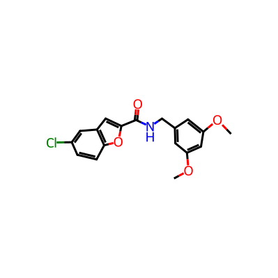 COc1cc(CNC(=O)c2cc3cc(Cl)ccc3o2)cc(OC)c1